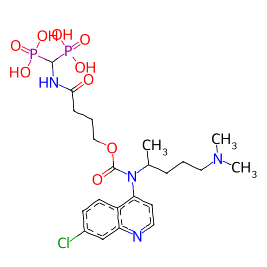 CC(CCCN(C)C)N(C(=O)OCCCC(=O)NC(P(=O)(O)O)P(=O)(O)O)c1ccnc2cc(Cl)ccc12